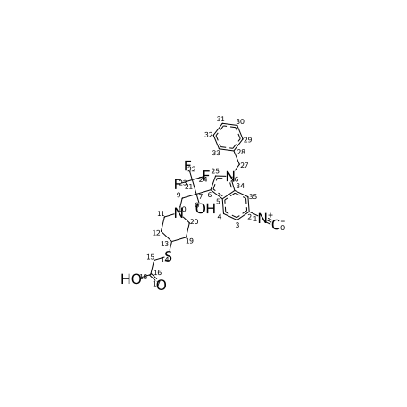 [C-]#[N+]c1ccc2c(C(O)(CN3CCC(SCC(=O)O)CC3)C(F)(F)F)cn(Cc3ccccc3)c2c1